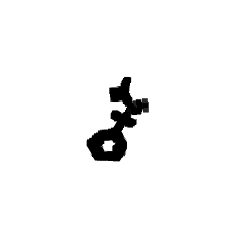 C=C(C)NC(C)(C)c1ccccc1